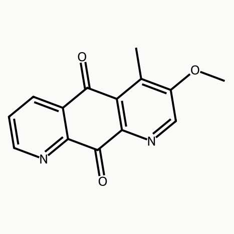 COc1cnc2c(c1C)C(=O)c1cccnc1C2=O